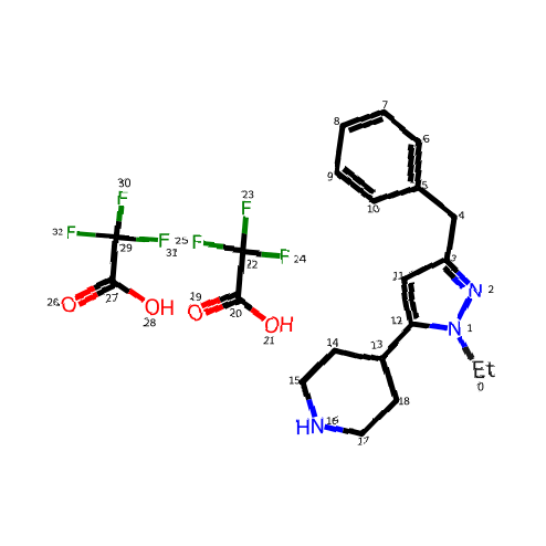 CCn1nc(Cc2ccccc2)cc1C1CCNCC1.O=C(O)C(F)(F)F.O=C(O)C(F)(F)F